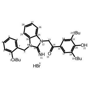 Br.CC(C)COc1ccccc1Cn1c(=N)n(CC(=O)c2cc(C(C)(C)C)c(O)c(C(C)(C)C)c2)c2ccccc21